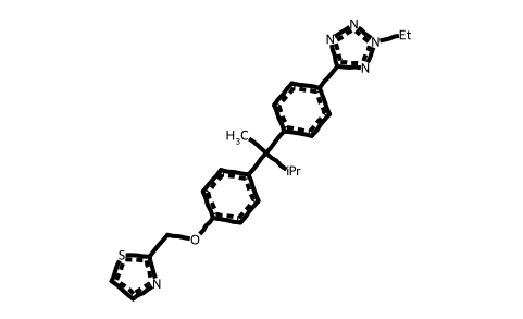 CCn1nnc(-c2ccc(C(C)(c3ccc(OCc4nccs4)cc3)C(C)C)cc2)n1